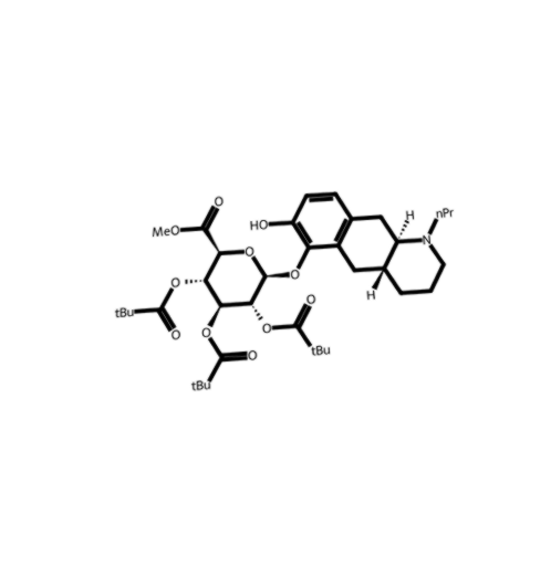 CCCN1CCC[C@@H]2Cc3c(ccc(O)c3O[C@@H]3O[C@H](C(=O)OC)[C@@H](OC(=O)C(C)(C)C)[C@H](OC(=O)C(C)(C)C)[C@H]3OC(=O)C(C)(C)C)C[C@H]21